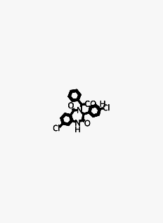 O=C(O)C(c1ccccc1)N1C(=O)c2ccc(Cl)cc2NC(=O)C1c1ccc(Cl)cc1